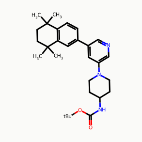 CC(C)(C)OC(=O)NC1CCN(c2cncc(-c3ccc4c(c3)C(C)(C)CCC4(C)C)c2)CC1